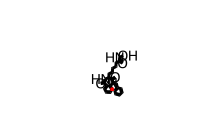 O=C(CCCCCC1NC(=O)c2ccccc2N(Cc2ccccc2)C1=O)NO